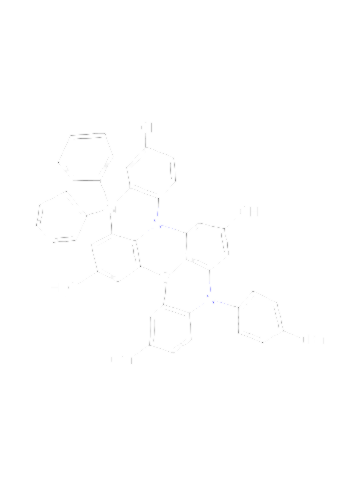 Cc1cc2c3c(c1)N1c4ccc(C)cc4[Si](c4ccccc4)(c4ccccc4)c4cc(C)cc(c41)B3c1cc(C(C)(C)C)ccc1N2c1ccc(C(C)(C)C)cc1